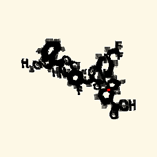 Cn1cc(C(=O)Nc2cc(F)c(CC(=O)C(O[C@H]3CC[C@H](C(=O)O)CC3)(N3CCCC3)N3CCN(CC(F)F)CC3)cc2Cl)c2ccccc21